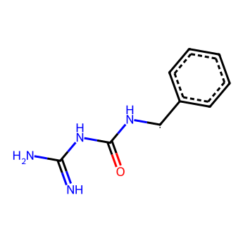 N=C(N)NC(=O)N[CH]c1ccccc1